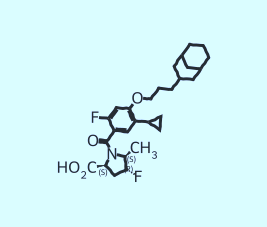 C[C@H]1[C@H](F)C[C@@H](C(=O)O)N1C(=O)c1cc(C2CC2)c(OCCCC2CC3CCCC(C2)C3)cc1F